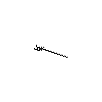 CCCCCCCCCCCCCCCCCCC[n+]1ccc(CC)c(CC)c1